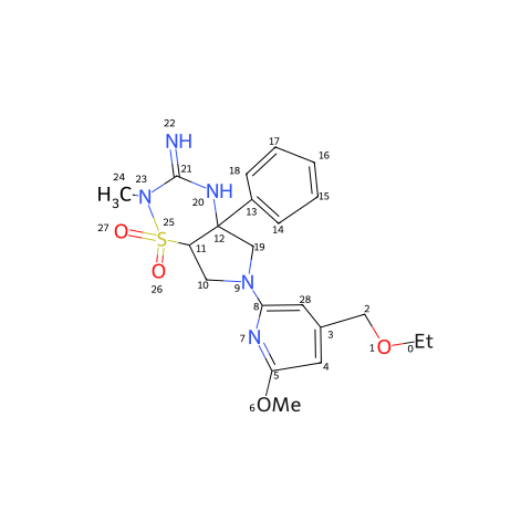 CCOCc1cc(OC)nc(N2CC3C(c4ccccc4)(C2)NC(=N)N(C)S3(=O)=O)c1